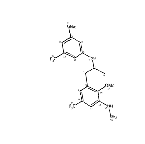 COc1cc(NC(C)Cc2cc(C(F)(F)F)cc(NC(C)(C)C)c2OC)cc(C(F)(F)F)c1